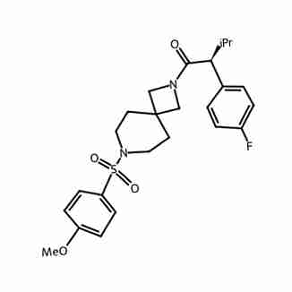 COc1ccc(S(=O)(=O)N2CCC3(CC2)CN(C(=O)[C@H](c2ccc(F)cc2)C(C)C)C3)cc1